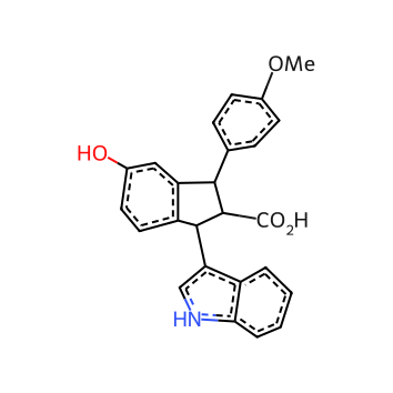 COc1ccc(C2c3cc(O)ccc3C(c3c[nH]c4ccccc34)C2C(=O)O)cc1